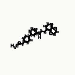 COCc1ccc(-c2cc(NCCc3ccnc4c3OCCO4)ncn2)cc1